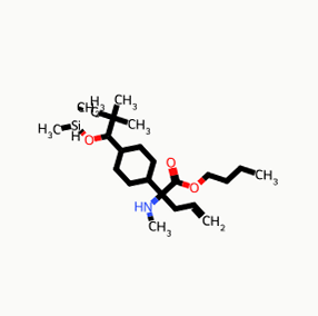 C=CCC(NC)(C(=O)OCCCC)C1CCC(C(O[SiH](C)C)C(C)(C)C)CC1